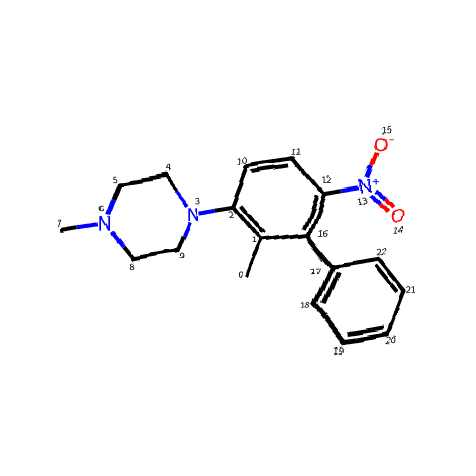 Cc1c(N2CCN(C)CC2)ccc([N+](=O)[O-])c1-c1ccccc1